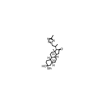 CCC[C@@]1(O)CC[C@H]2[C@H](CC[C@@H]3[C@@H]2CC[C@]2(C)[C@@H](C(C)Cn4nnc(C)n4)C(=O)C[C@@H]32)C1